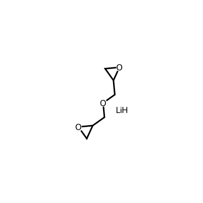 C(OCC1CO1)C1CO1.[LiH]